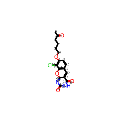 CC(=O)CCCCOc1ccc2cc3c(=O)[nH]c(=O)nc-3oc2c1Cl